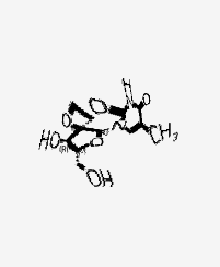 Cc1cn([C@@H]2O[C@H](CO)[C@@H](O)[C@]23CCO3)c(=O)[nH]c1=O